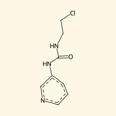 O=C(NCCCl)Nc1cccnc1